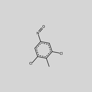 Cc1c(Cl)cc(N=O)cc1Cl